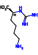 N=C(N)N[C@@H](CCCCN)C(=O)O